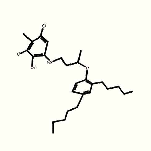 CCCCCc1ccc(OC(C)CCNc2cc(Cl)c(C)c(Cl)c2O)c(CCCCC)c1